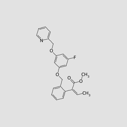 CC=C(C(=O)OC)c1ccccc1COc1cc(F)cc(OCc2ccccn2)c1